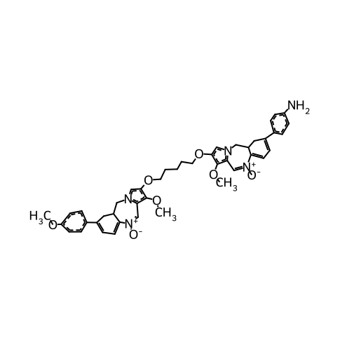 COc1ccc(C2=CC=C3C(C2)Cn2cc(OCCCCCOc4cn5c(c4OC)C=[N+]([O-])C4=CC=C(c6ccc(N)cc6)CC4C5)c(OC)c2C=[N+]3[O-])cc1